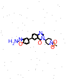 CS(=O)(=O)N1CCC(n2cnc3ccc(-c4ccc5oc(N)nc5c4)cc3c2=O)CC1